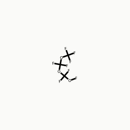 FOC(F)(F)OC(F)(F)OC(F)(F)F